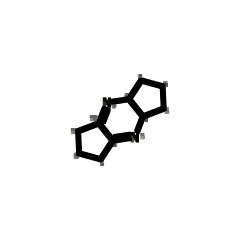 C1CC2=NC3CCCC3N=C2C1